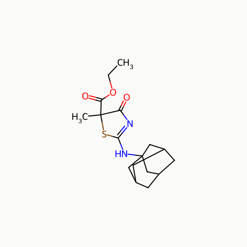 CCOC(=O)C1(C)SC(NC23CC4CC(CC(C4)C2)C3)=NC1=O